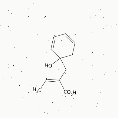 CC=C(CC1(O)C=CC=CC1)C(=O)O